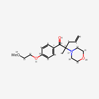 C=CCC(C)(C(=O)c1ccc(OCCOC)cc1)N1CCOCC1